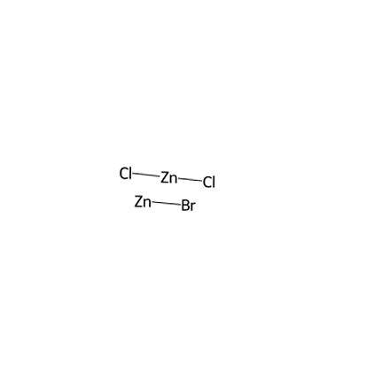 [Cl][Zn][Cl].[Zn][Br]